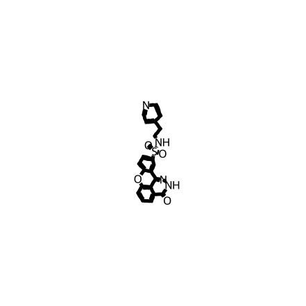 O=c1[nH]nc2c3c(cccc13)Oc1ccc(S(=O)(=O)NCCc3ccncc3)cc1-2